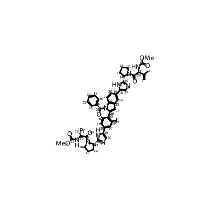 C=C(C)[C@H](NC(=O)OC)C(=O)N1CCC[C@H]1c1ncc(-c2ccc3c(c2)cc2n3[C@H](c3ccccc3)Oc3cc(-c4cnc([C@@H]5CCCN5C(=O)[C@@H](NC(=O)OC)C(C)C)[nH]4)cc(F)c3-2)[nH]1